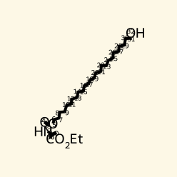 C=C(NC(=O)OCCCCCCCCCCCCCCCCCCCCCCCCCCO)C(=O)OCC